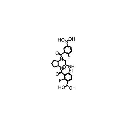 CCNC(=O)CN(C(=O)c1cc(B(O)O)ccc1F)C1CCCC1NC(=O)c1cccc(B(O)O)c1F